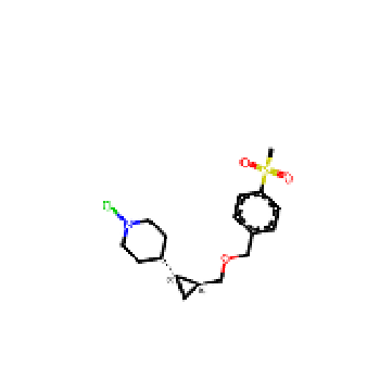 CS(=O)(=O)c1ccc(COC[C@H]2C[C@@H]2C2CCN(Cl)CC2)cc1